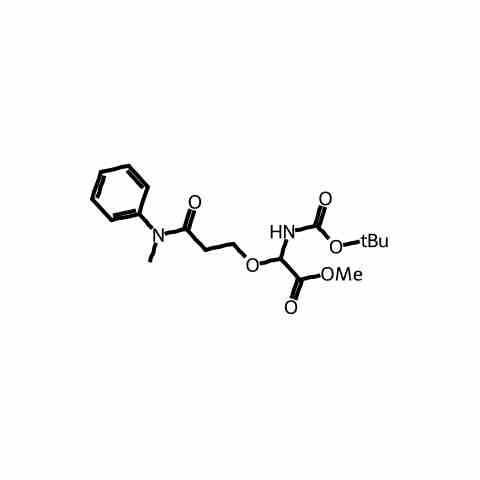 COC(=O)C(NC(=O)OC(C)(C)C)OCCC(=O)N(C)c1ccccc1